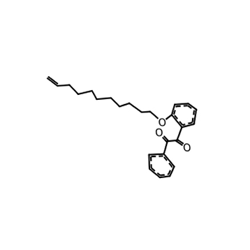 C=CCCCCCCCCCOc1ccccc1C(=O)C(=O)c1ccccc1